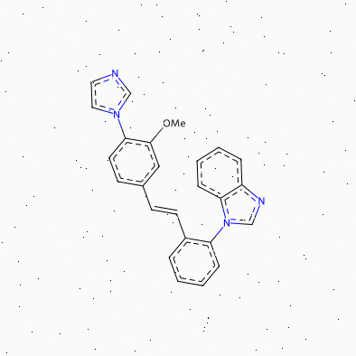 COc1cc(C=Cc2ccccc2-n2cnc3ccccc32)ccc1-n1ccnc1